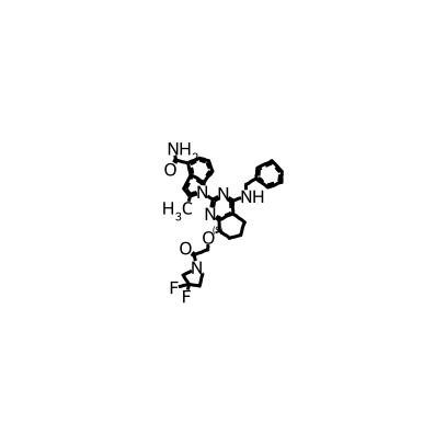 Cc1cc2c(C(N)=O)cccc2n1-c1nc(NCc2ccccc2)c2c(n1)[C@@H](OCC(=O)N1CCC(F)(F)C1)CCC2